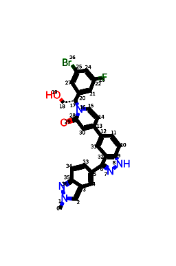 Cn1cc2cc(-c3n[nH]c4ccc(-c5ccn([C@H](CO)c6cc(F)cc(Br)c6)c(=O)c5)cc34)ccc2n1